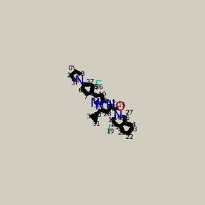 C[C@H]1CCN(c2ccc(-c3cc4nc(C(=O)N5C[C@H](F)c6ccccc6[C@H]5C)cc(C5CC5)n4n3)c(F)c2)C1